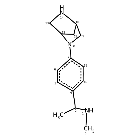 CNC(C)c1ccc(N2CC3CC2CN3)cc1